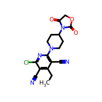 CCc1c(C#N)c(Cl)nc(N2CCC(N3C(=O)COC3=O)CC2)c1C#N